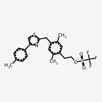 Cc1ccc(-c2csc(Cc3cc(C)c(CCOS(=O)(=O)C(F)(F)F)cc3C)n2)cc1